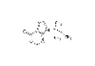 CCC(C)(C)n1cnc2c(=O)[nH]cnc21